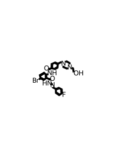 O=C(Nc1ccc(Br)cc1C(=O)NN=Cc1ccc(F)cc1)c1ccc(CN2CCN(CCO)CC2)cc1